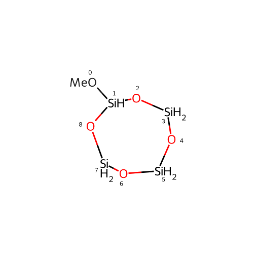 CO[SiH]1O[SiH2]O[SiH2]O[SiH2]O1